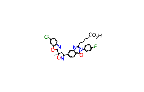 C[C@]1(c2nc3ccc(Cl)cc3o2)CC(c2ccc3c(=O)n(-c4ccc(F)cc4)c(CCCCC(=O)O)nc3c2)=NO1